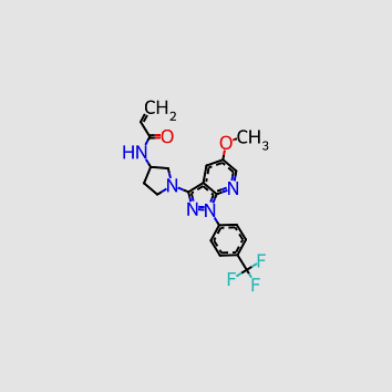 C=CC(=O)NC1CCN(c2nn(-c3ccc(C(F)(F)F)cc3)c3ncc(OC)cc23)C1